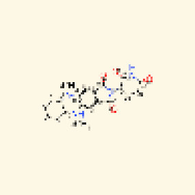 CNC1CCCCC1N(C)c1ccc2c(c1)C(=O)N(C1CCC(=O)NC1=O)C2=O